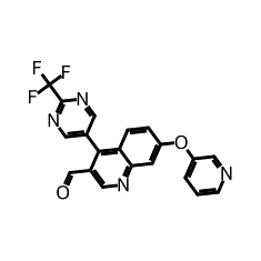 O=Cc1cnc2cc(Oc3cccnc3)ccc2c1-c1cnc(C(F)(F)F)nc1